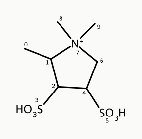 CC1C(S(=O)(=O)O)C(S(=O)(=O)O)C[N+]1(C)C